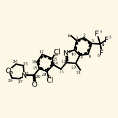 Cc1cc(C(F)(F)F)cc2c1N=C(Cc1c(Cl)ccc(C(=O)N3CCOCC3)c1Cl)C2C